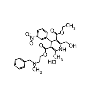 CCOC(=O)C1=C(CO)NC(C)=C(C(=O)OCCN(C)Cc2ccccc2)C1c1cccc([N+](=O)[O-])c1.Cl